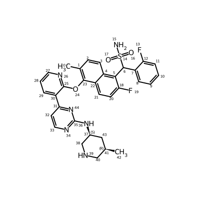 Cc1ccc2c(C(c3ccccc3F)S(N)(=O)=O)c(F)ccc2c1Oc1ncccc1-c1ccnc(N[C@@H]2CNC[C@H](C)C2)n1